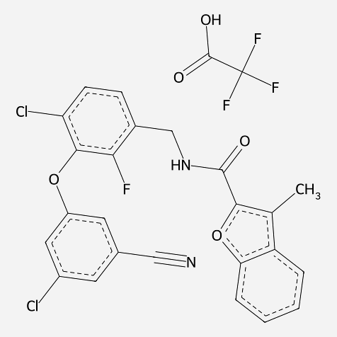 Cc1c(C(=O)NCc2ccc(Cl)c(Oc3cc(Cl)cc(C#N)c3)c2F)oc2ccccc12.O=C(O)C(F)(F)F